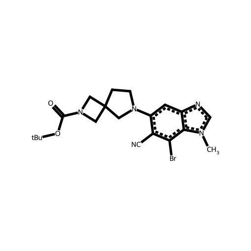 Cn1cnc2cc(N3CCC4(CN(C(=O)OC(C)(C)C)C4)C3)c(C#N)c(Br)c21